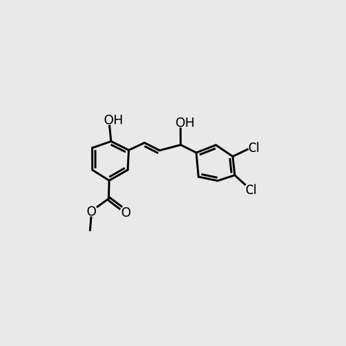 COC(=O)c1ccc(O)c(/C=C/C(O)c2ccc(Cl)c(Cl)c2)c1